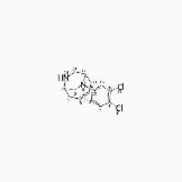 Clc1ccc(N2CC3C/C=C\CC2CN3)cc1Cl